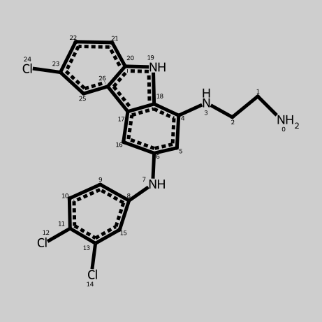 NCCNc1cc(Nc2ccc(Cl)c(Cl)c2)cc2c1[nH]c1ccc(Cl)cc12